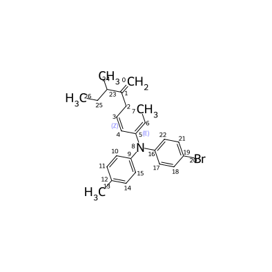 C=C(C/C=C\C(=C/C)N(c1ccc(C)cc1)c1ccc(Br)cc1)C(C)CC